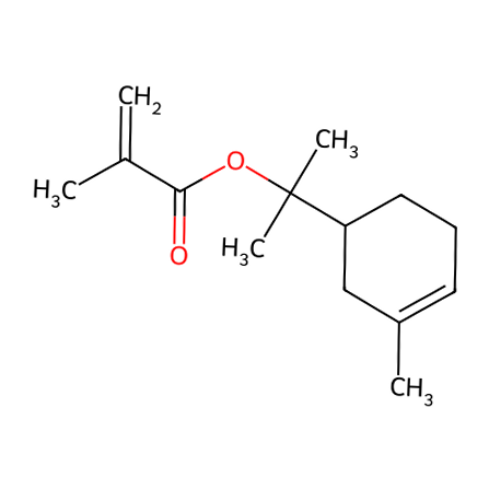 C=C(C)C(=O)OC(C)(C)C1CCC=C(C)C1